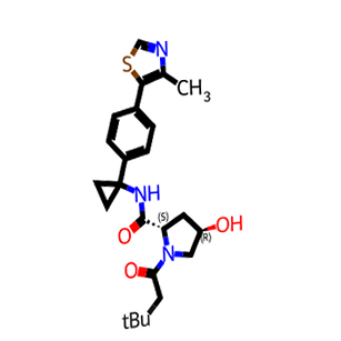 Cc1ncsc1-c1ccc(C2(NC(=O)[C@@H]3C[C@@H](O)CN3C(=O)CC(C)(C)C)CC2)cc1